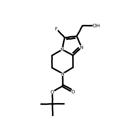 CC(C)(C)OC(=O)N1CCn2c(nc(CO)c2F)C1